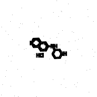 Cl.c1cc2cc(NC3CCCNC3)ccc2cn1